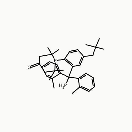 Cc1ccccc1C(P)(c1ccccc1C)c1cc(CC(C)(C)C)ccc1P1C(C)(C)CC(=O)CC1(C)C